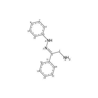 NCC(=NNc1ccccc1)c1ccccc1